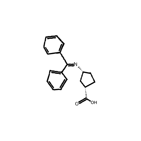 O=C(O)[C@H]1CC[C@@H](N=C(c2ccccc2)c2ccccc2)C1